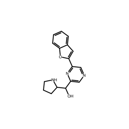 OC(c1cncc(-c2cc3ccccc3o2)n1)C1CCCN1